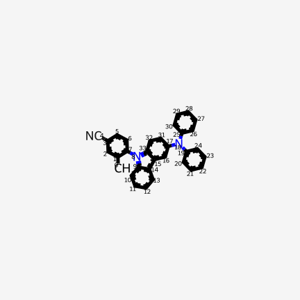 Cc1cc(C#N)ccc1-n1c2ccccc2c2cc(N(c3ccccc3)c3ccccc3)ccc21